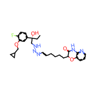 CC[C@@](O)(CN/N=N\C=C\CCCCC1Oc2cccnc2NC1=O)c1ccc(F)c(OCC2CC2)c1